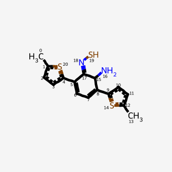 Cc1ccc(C2=CC=C(c3ccc(C)s3)C(N)/C2=N\S)s1